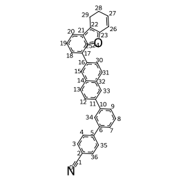 N#Cc1ccc(-c2cccc(-c3ccc4cc(-c5cccc6c7c(oc56)C=CCC7)ccc4c3)c2)cc1